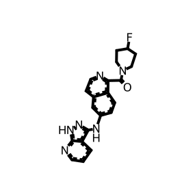 O=C(c1nccc2cc(Nc3n[nH]c4ncccc34)ccc12)N1CCC(F)CC1